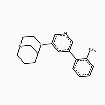 FC(F)(F)c1ccccc1-c1cncc(N2CCN3CCCC2C3)c1